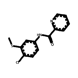 CSc1cc(NC(=O)c2ccccn2)ccc1Cl